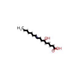 CCCCCC/C=C/CCC(O)CCCCC(=O)O